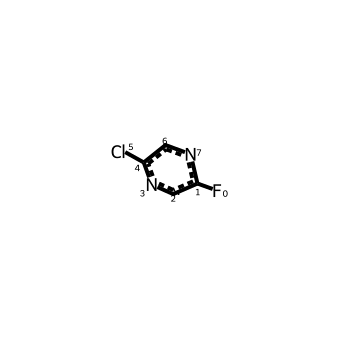 Fc1[c]nc(Cl)cn1